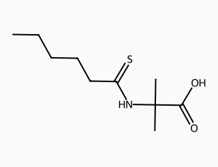 CCCCCC(=S)NC(C)(C)C(=O)O